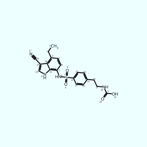 CCc1ccc(NS(=O)(=O)c2ccc(CCNC(=O)O)cc2)c2[nH]cc(C#N)c12